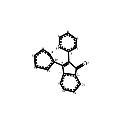 O=C1C(c2ccccn2)=C(c2ccccc2)c2ccccc21